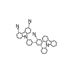 N#Cc1ccc2c(c1)c1c(C#N)cccc1n2-c1cccc(-c2cc(-c3ccccc3-n3c4ccccc4c4ccccc43)ccc2C#N)c1